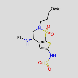 CCN[C@H]1CN(CCCOC)S(=O)(=O)c2sc(N[SH](=O)=O)cc21